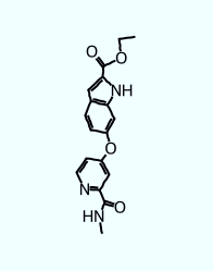 CCOC(=O)c1cc2ccc(Oc3ccnc(C(=O)NC)c3)cc2[nH]1